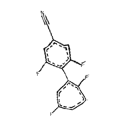 N#Cc1cc(F)c(-c2cc(F)c[c]c2F)c(F)c1